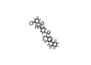 O=C(Nc1ccc(C(=O)C2=c3ccc4c(c3CCC2)CC=c2ccccc2=4)cc1)c1cccc(Cl)c1